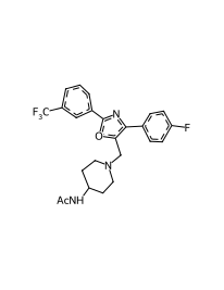 CC(=O)NC1CCN(Cc2oc(-c3cccc(C(F)(F)F)c3)nc2-c2ccc(F)cc2)CC1